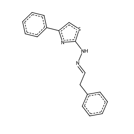 C(Cc1ccccc1)=NNc1nc(-c2ccccc2)cs1